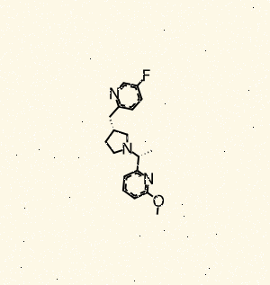 COc1cccc([C@@H](C)N2CC[C@H](Cc3ccc(F)cn3)C2)n1